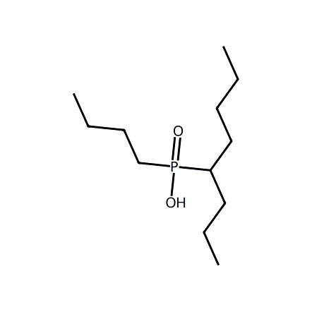 CCCCC(CCC)P(=O)(O)CCCC